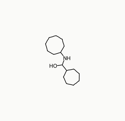 OC(NC1CCCCCCC1)C1CCCCCC1